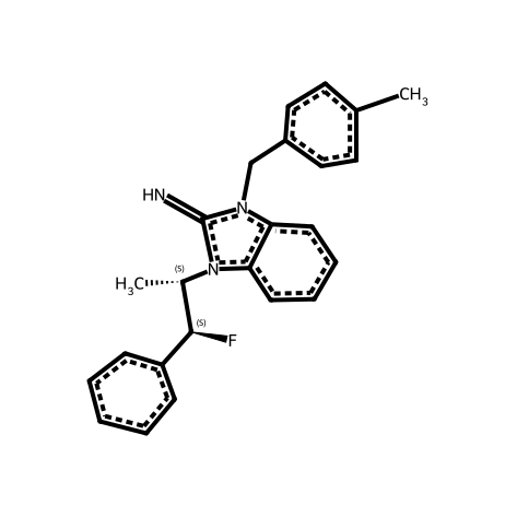 Cc1ccc(Cn2c(=N)n([C@@H](C)[C@@H](F)c3ccccc3)c3ccccc32)cc1